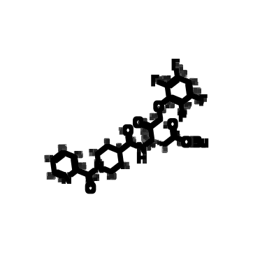 CC(C)COC(=O)C[C@H](NC(=O)C1CCN(C(=O)c2ccccn2)CC1)C(=O)COc1c(F)c(F)cc(F)c1F